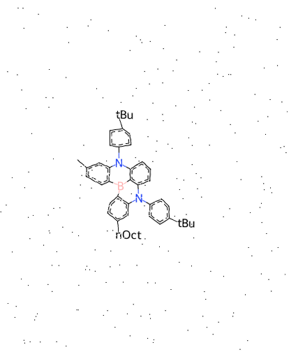 CCCCCCCCc1ccc2c(c1)N(c1ccc(C(C)(C)C)cc1)c1cccc3c1B2c1ccc(C)cc1N3c1ccc(C(C)(C)C)cc1